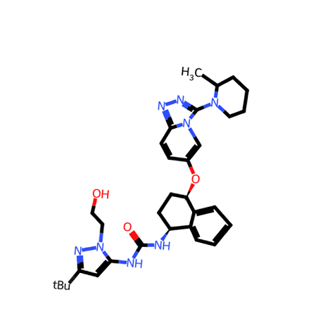 CC1CCCCN1c1nnc2ccc(O[C@@H]3CC[C@H](NC(=O)Nc4cc(C(C)(C)C)nn4CCO)c4ccccc43)cn12